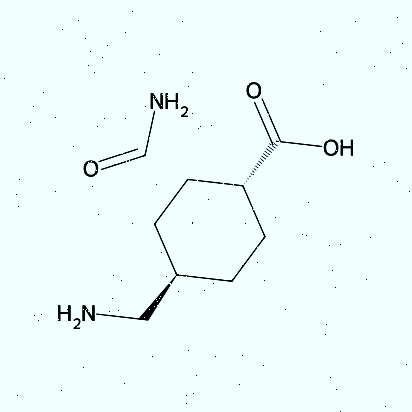 NC=O.NC[C@H]1CC[C@H](C(=O)O)CC1